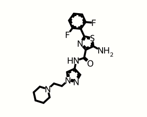 Nc1sc(-c2c(F)cccc2F)nc1C(=O)Nc1cnn(CCN2CCCCC2)c1